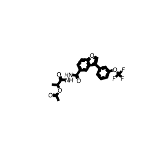 CC(=O)OC(C)C(=O)NNC(=O)c1ccc2occ(-c3cccc(OC(F)(F)F)c3)c2c1